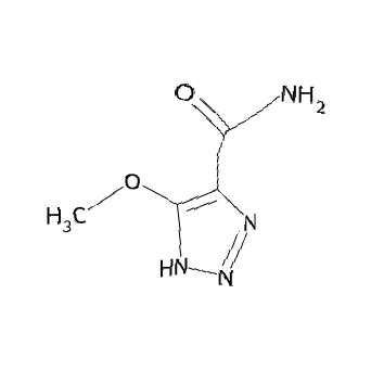 COc1[nH]nnc1C(N)=O